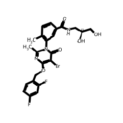 Cc1ccc(C(=O)NC[C@H](O)CO)cc1-n1c(C)nc(OCc2ccc(F)cc2F)c(Br)c1=O